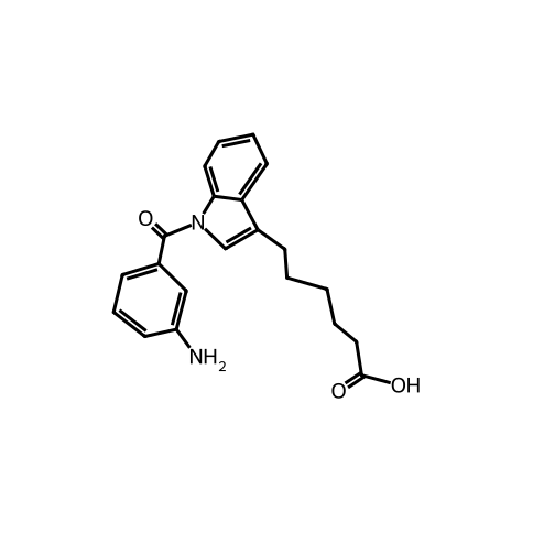 Nc1cccc(C(=O)n2cc(CCCCCC(=O)O)c3ccccc32)c1